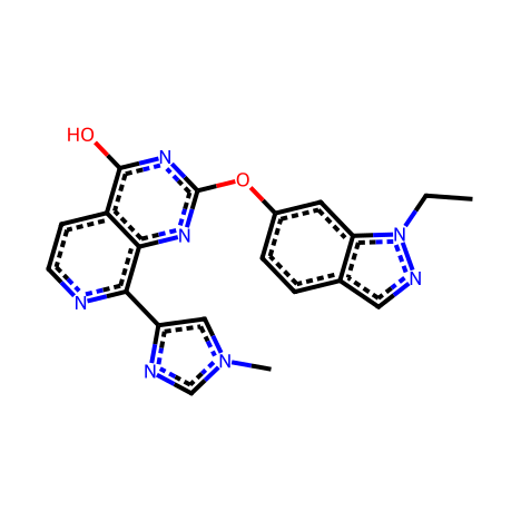 CCn1ncc2ccc(Oc3nc(O)c4ccnc(-c5cn(C)cn5)c4n3)cc21